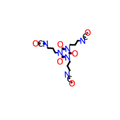 O=C=NCCCn1c(=O)n(CCCN=C=O)c(=O)n(CCCN=C=O)c1=O